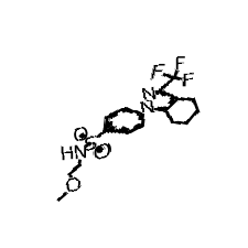 COCCNS(=O)(=O)c1ccc(-n2nc(C(F)(F)F)c3c2CCCC3)cc1